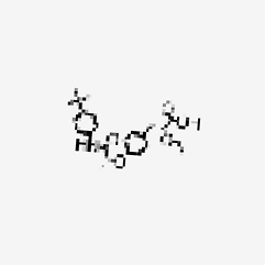 CCO[C@@H](Cc1ccc(O[C@H](C)C(=O)Nc2ccc(C(C)(C)C)cc2)cc1)C(=O)O